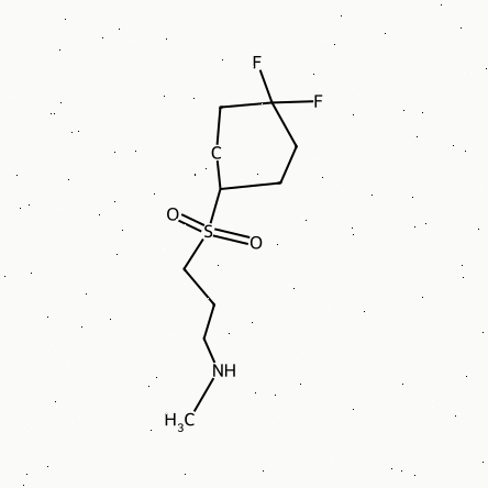 CNCCCS(=O)(=O)C1CCC(F)(F)CC1